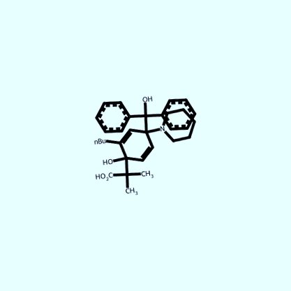 CCCCC1=CC(N2CCCCC2)(C(O)(c2ccccc2)c2ccccc2)C=CC1(O)C(C)(C)C(=O)O